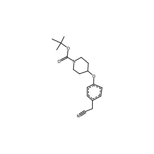 CC(C)(C)OC(=O)N1CCC(Oc2ccc(CC#N)cc2)CC1